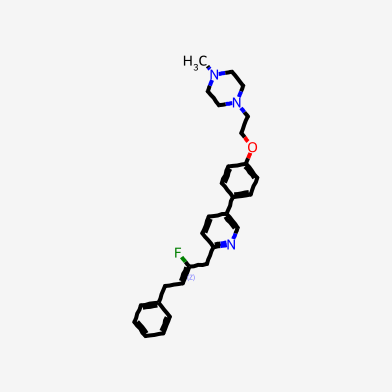 CN1CCN(CCOc2ccc(-c3ccc(C/C(F)=C/Cc4ccccc4)nc3)cc2)CC1